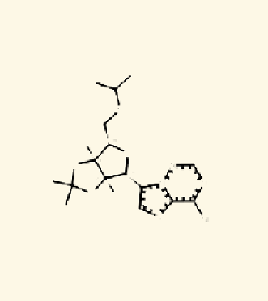 CC(C)NC[C@H]1O[C@@H](c2cnc3c(N)ncnn23)[C@@H]2OC(C)(C)O[C@@H]21